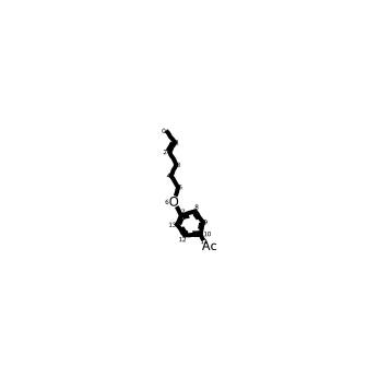 CC=CCCCOc1ccc(C(C)=O)cc1